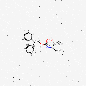 CCC(NC(=O)OCC1c2ccccc2-c2ccccc21)C(C)O